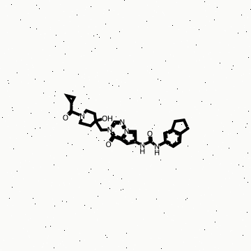 O=C(Nc1ccc2c(c1)CCC2)Nc1cc2c(=O)n(CC3(O)CCN(C(=O)C4CC4)CC3)cnn2c1